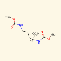 CC(C)(C)OC(=O)NCCC[C@](C)(NC(=O)OC(C)(C)C)C(=O)O